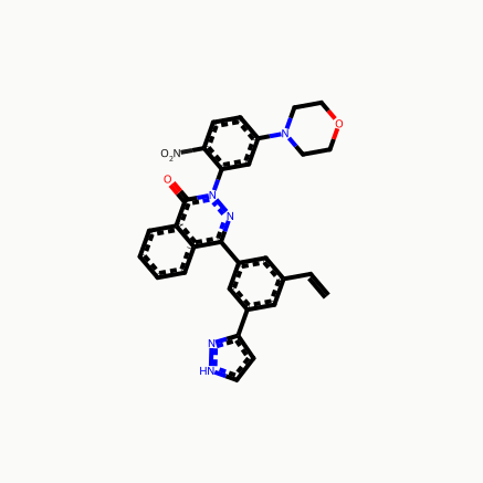 C=Cc1cc(-c2cc[nH]n2)cc(-c2nn(-c3cc(N4CCOCC4)ccc3[N+](=O)[O-])c(=O)c3ccccc23)c1